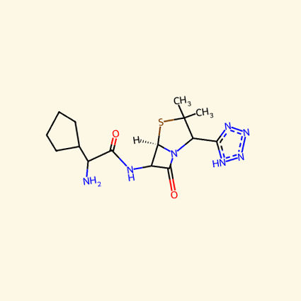 CC1(C)S[C@@H]2C(NC(=O)C(N)C3CCCC3)C(=O)N2C1c1nnn[nH]1